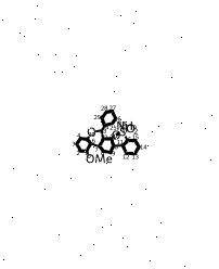 COc1cccc2c1-c1ccc(-c3ccccc3S(N)(=O)=O)cc1C(c1ccccc1)O2